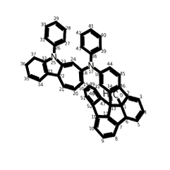 CC12C3=CC=CC1c1cccc4c1C2(c1cc(N(C2=CC=CC5C(=C2)N(c2ccccc2)C2=C5C=CCC2)c2ccccc2)ccc13)c1ccccc1-4